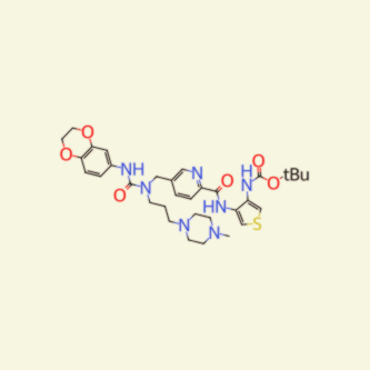 CN1CCN(CCCN(Cc2ccc(C(=O)Nc3cscc3NC(=O)OC(C)(C)C)nc2)C(=O)Nc2ccc3c(c2)OCCO3)CC1